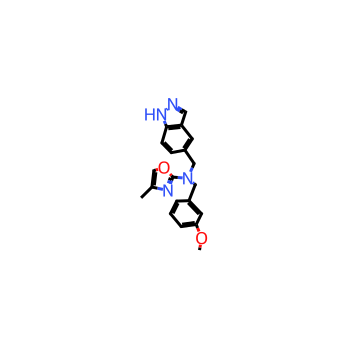 COc1cccc(CN(Cc2ccc3[nH]ncc3c2)c2nc(C)co2)c1